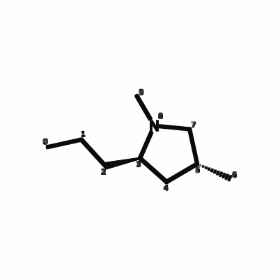 CCC[C@@H]1C[C@@H](C)CN1C